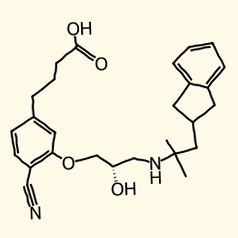 CC(C)(CC1Cc2ccccc2C1)NC[C@H](O)COc1cc(CCCC(=O)O)ccc1C#N